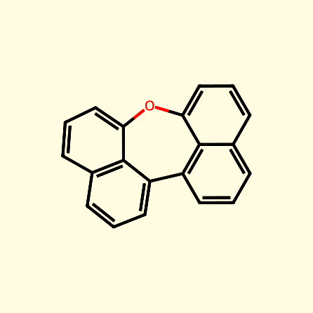 c1cc2cccc3c4cccc5cccc(oc(c1)c23)c54